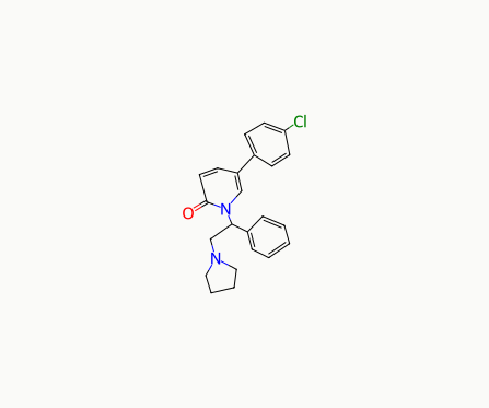 O=c1ccc(-c2ccc(Cl)cc2)cn1C(CN1CCCC1)c1ccccc1